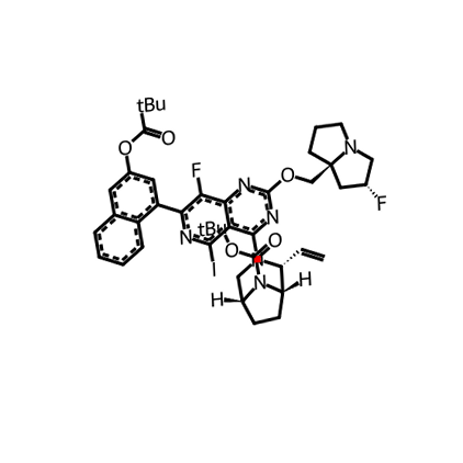 C=C[C@@H]1[C@@H]2CC[C@H](CN1c1nc(OC[C@@]34CCCN3C[C@H](F)C4)nc3c(F)c(-c4cc(OC(=O)C(C)(C)C)cc5ccccc45)nc(I)c13)N2C(=O)OC(C)(C)C